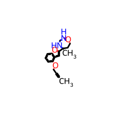 CC#CCOc1cccc2oc([C@]3(C)CCONCN3)cc12